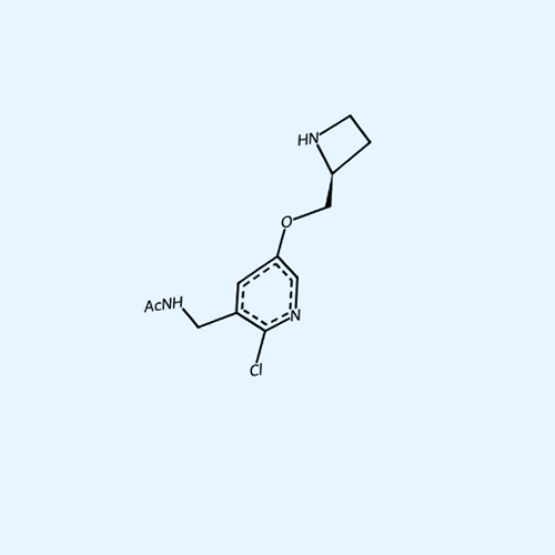 CC(=O)NCc1cc(OC[C@@H]2CCN2)cnc1Cl